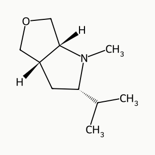 CC(C)[C@@H]1C[C@@H]2COC[C@@H]2N1C